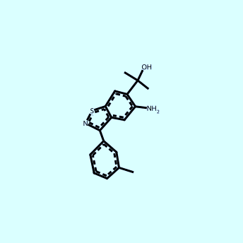 Cc1cccc(-c2nsc3cc(C(C)(C)O)c(N)cc23)c1